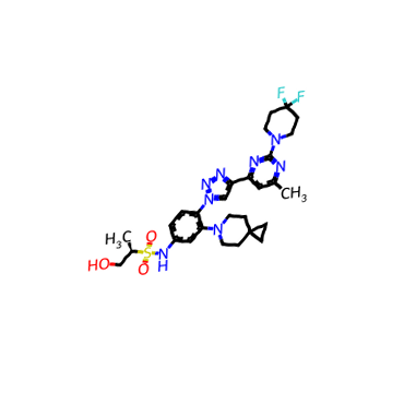 Cc1cc(-c2cn(-c3ccc(NS(=O)(=O)[C@H](C)CO)cc3N3CCC4(CC3)CC4)nn2)nc(N2CCC(F)(F)CC2)n1